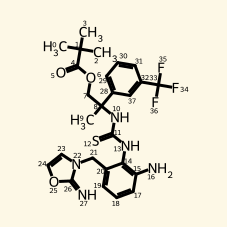 CC(C)(C)C(=O)OCC(C)(NC(=S)Nc1c(N)cccc1Cn1ccoc1=N)c1cccc(C(F)(F)F)c1